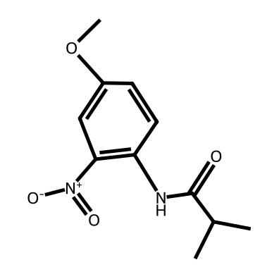 COc1ccc(NC(=O)C(C)C)c([N+](=O)[O-])c1